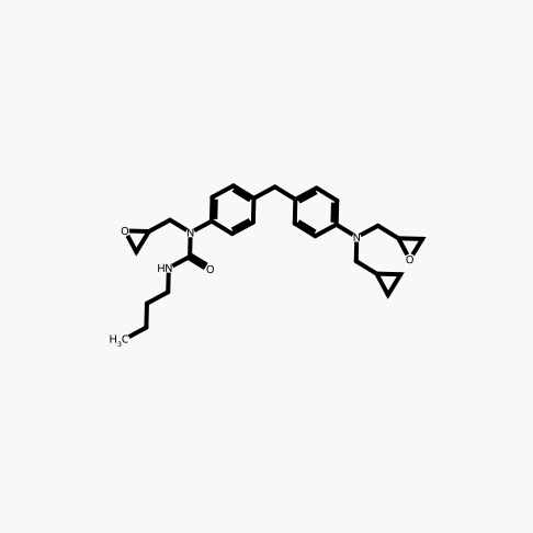 CCCCNC(=O)N(CC1CO1)c1ccc(Cc2ccc(N(CC3CC3)CC3CO3)cc2)cc1